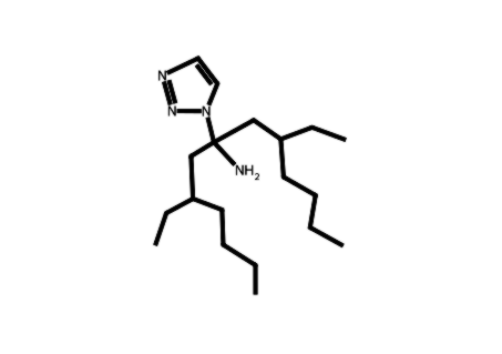 CCCCC(CC)CC(N)(CC(CC)CCCC)n1ccnn1